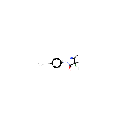 COc1ccc(N2N=C(C)C(Cl)(C=O)C2=O)cc1